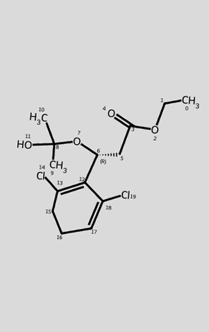 CCOC(=O)C[C@@H](OC(C)(C)O)C1=C(Cl)CCC=C1Cl